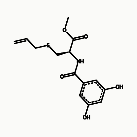 C=CCSC[C@H](NC(=O)c1cc(O)cc(O)c1)C(=O)OC